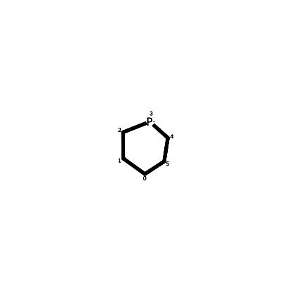 C1CC[P]CC1